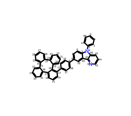 c1ccc(-n2c3ccc(-c4ccc(-c5cccc6c5-c5ccccc5-c5ccccc5-c5ccccc5-6)cc4)cc3c3ncccc32)cc1